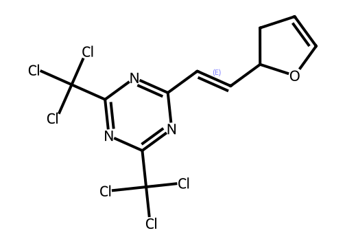 ClC(Cl)(Cl)c1nc(/C=C/C2CC=CO2)nc(C(Cl)(Cl)Cl)n1